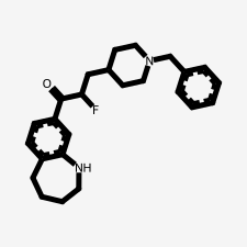 O=C(c1ccc2c(c1)NCCCC2)C(F)CC1CCN(Cc2ccccc2)CC1